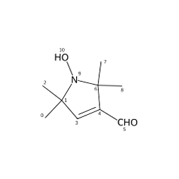 CC1(C)C=C(C=O)C(C)(C)N1O